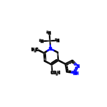 [2H]C([2H])([2H])N1CC(c2cn[nH]c2)=C(C(=O)O)C=C1C